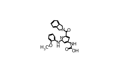 COc1ccccc1Nc1cc(NC(=O)O)cc(C(=O)N2Cc3ccccc3C2)n1